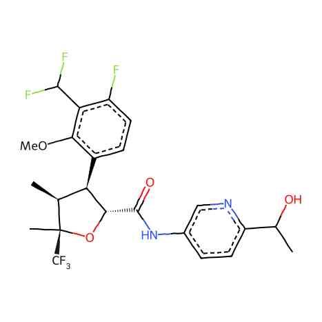 COc1c([C@H]2[C@H](C(=O)Nc3ccc(C(C)O)nc3)O[C@@](C)(C(F)(F)F)[C@H]2C)ccc(F)c1C(F)F